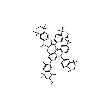 CCC1CC(C)(C)c2cc(C)c(-c3cc4c5c(c3)N(c3ccc6c(c3)C(C)(C)CCC6(C)C)c3ccc(C(C)(C)C)cc3B5c3c(sc5cc6c(cc35)C(C)(C)CCC6(C)C)C(C(C)c3ccc5c(c3)C(C)(C)CCC5(C)C)C4)cc2C1C